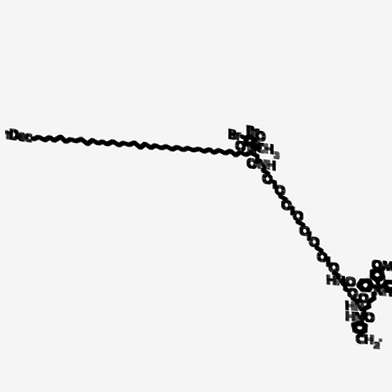 [CH2]c1ccc(NC(=O)C(CCCCNC(c2ccccc2)(c2ccccc2)c2ccc(OC)cc2)NC(=O)COCC(=O)NCCOCCOCCOCCOCCOCCOCCOCCOCCNC(=O)CC(CCCCCCCCCCCCCCCCCCCCCCCCCCCCCCCCCCCCCCCCCCCCCCCCCCC)n2c(=O)c(Br)c(Br)c(=O)n2C)cc1